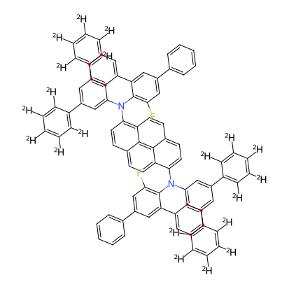 [2H]c1c([2H])c([2H])c(-c2cc(-c3c([2H])c([2H])c([2H])c([2H])c3[2H])cc(N(c3c(F)cc(-c4ccccc4)cc3-c3ccccc3)c3ccc4ccc5c(N(c6cc(-c7c([2H])c([2H])c([2H])c([2H])c7[2H])cc(-c7c([2H])c([2H])c([2H])c([2H])c7[2H])c6)c6c(F)cc(-c7ccccc7)cc6-c6ccccc6)ccc6ccc3c4c65)c2)c([2H])c1[2H]